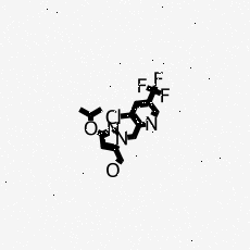 CC(C)Oc1cc(C=O)n(Cc2ncc(C(F)(F)F)cc2Cl)n1